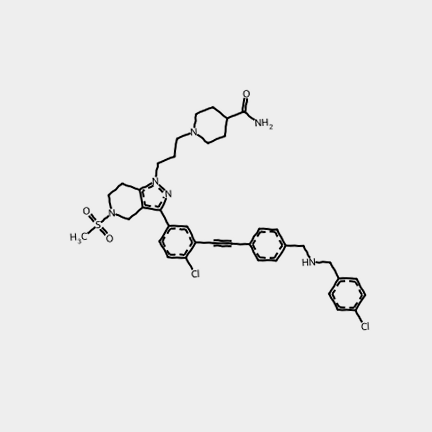 CS(=O)(=O)N1CCc2c(c(-c3ccc(Cl)c(C#Cc4ccc(CNCc5ccc(Cl)cc5)cc4)c3)nn2CCCN2CCC(C(N)=O)CC2)C1